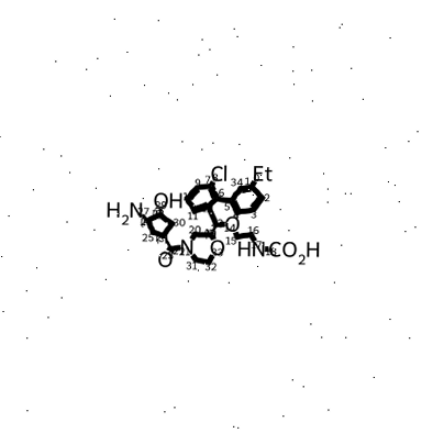 CCc1cccc(-c2c(Cl)cccc2C(OCCNC(=O)O)[C@@H]2CN(C(=O)[C@H]3C[C@@H](N)[C@@H](O)C3)CCO2)c1